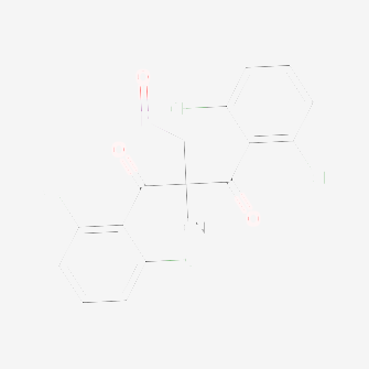 N#CC(CP=O)(C(=O)c1c(Cl)cccc1Cl)C(=O)c1c(Cl)cccc1Cl